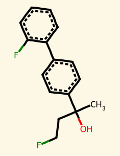 CC(O)(CCF)c1ccc(-c2ccccc2F)cc1